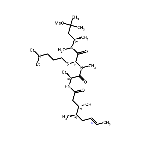 C/C=C/C[C@@H](C)[C@@H](O)CC(=O)N[C@@H](CC)C(=O)N(C)[C@H](SCCCN(CC)CC)C(=O)N(C)[C@H](C)CC(C)(C)OC